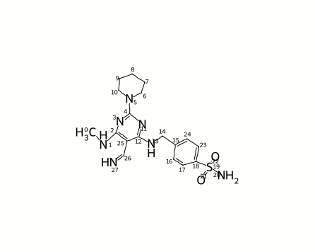 CNc1nc(N2CCCCC2)nc(NCc2ccc(S(N)(=O)=O)cc2)c1C=N